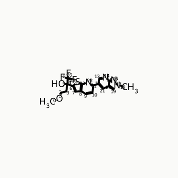 COCCC(O)(c1cc2ccc(-c3cnc4nn(C)cc4c3)nc2s1)C(F)(F)F